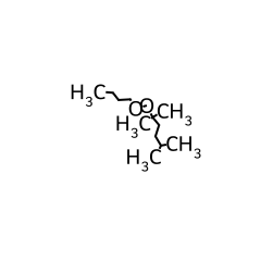 CCCCOOC(C)(C)CCC(C)C